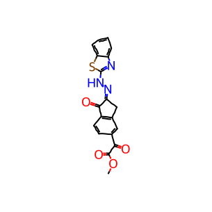 COC(=O)C(=O)c1ccc2c(c1)C/C(=N/Nc1nc3ccccc3s1)C2=O